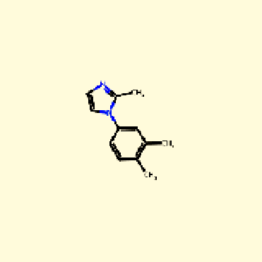 Cc1ccc(-n2ccnc2C)cc1C